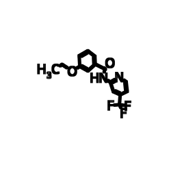 CCOc1cccc(C(=O)Nc2cc(C(F)(F)F)ccn2)c1